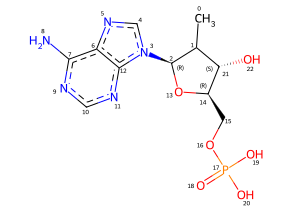 CC1[C@H](n2cnc3c(N)ncnc32)O[C@H](COP(=O)(O)O)[C@H]1O